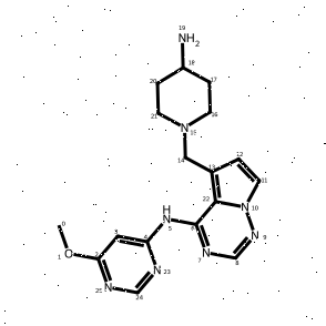 COc1cc(Nc2ncnn3ccc(CN4CCC(N)CC4)c23)ncn1